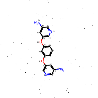 Nc1cncc(Oc2cccc(Oc3cncc(N)c3)c2)c1